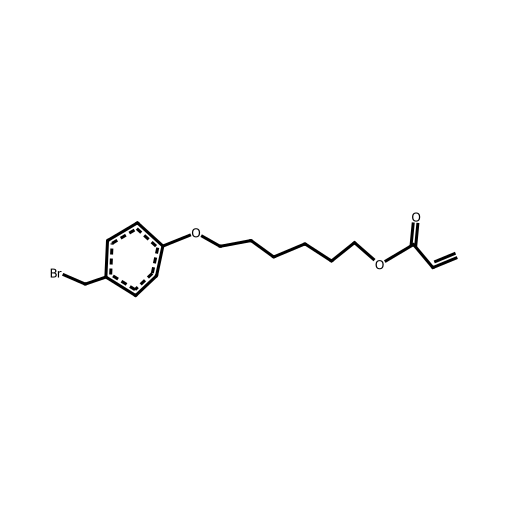 C=CC(=O)OCCCCCCOc1ccc(CBr)cc1